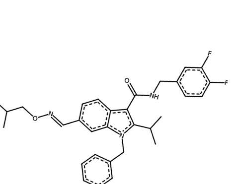 CC(C)CO/N=C/c1ccc2c(C(=O)NCc3ccc(F)c(F)c3)c(C(C)C)n(Cc3ccccc3)c2c1